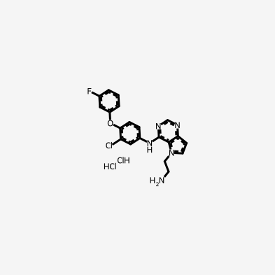 Cl.Cl.NCCn1ccc2ncnc(Nc3ccc(Oc4cccc(F)c4)c(Cl)c3)c21